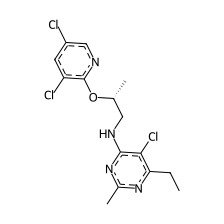 CCc1nc(C)nc(NC[C@@H](C)Oc2ncc(Cl)cc2Cl)c1Cl